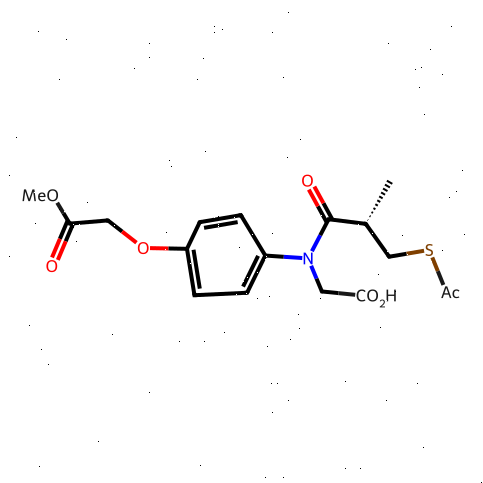 COC(=O)COc1ccc(N(CC(=O)O)C(=O)[C@H](C)CSC(C)=O)cc1